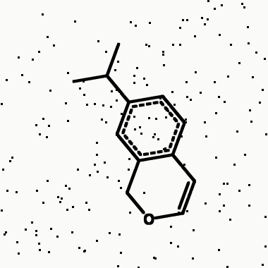 CC(C)c1ccc2c(c1)COC=C2